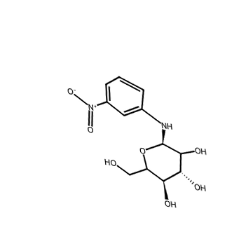 O=[N+]([O-])c1cccc(N[C@@H]2OC(CO)[C@H](O)[C@@H](O)C2O)c1